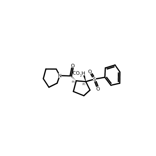 O=C([C@H]1CCC[C@@]1(C(=O)O)S(=O)(=O)c1ccccc1)N1CCCCC1